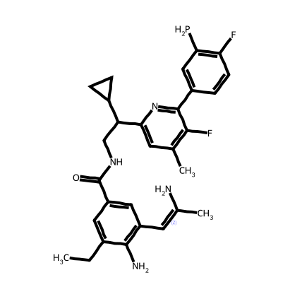 CCc1cc(C(=O)NCC(c2cc(C)c(F)c(-c3ccc(F)c(P)c3)n2)C2CC2)cc(/C=C(/C)N)c1N